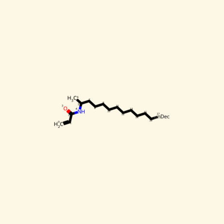 C=CC(=O)NC(C)CCCCCCCCCCCCCCCCCCCC